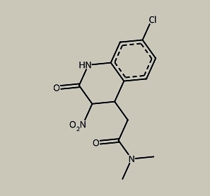 CN(C)C(=O)CC1c2ccc(Cl)cc2NC(=O)C1[N+](=O)[O-]